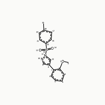 COc1ccccc1-c1cnn(S(=O)(=O)c2ccc(C)cc2)c1